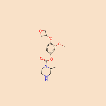 COc1cc(OC(=O)N2CCNCC2C)ccc1OC1COC1